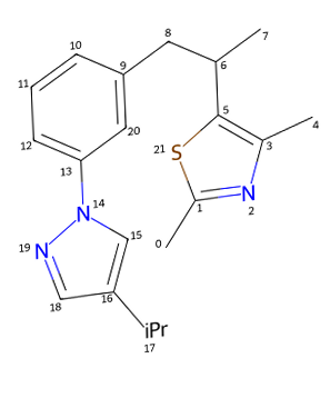 Cc1nc(C)c(C(C)Cc2cccc(-n3cc(C(C)C)cn3)c2)s1